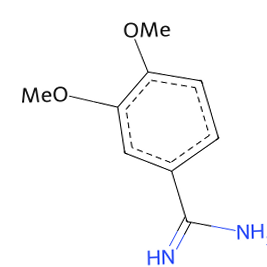 COc1ccc(C(=N)N)cc1OC